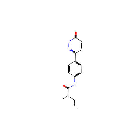 CC(CC#N)C(=O)Nc1ccc(-c2ccc(=O)[nH]n2)cc1